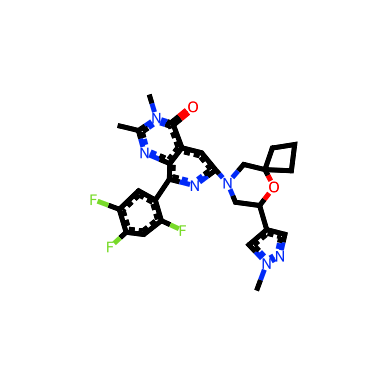 Cc1nc2c(-c3cc(F)c(F)cc3F)nc(N3CC(c4cnn(C)c4)OC4(CCC4)C3)cc2c(=O)n1C